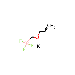 C=CCOC[B-](F)(F)F.[K+]